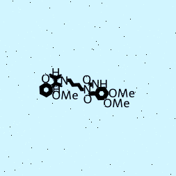 COc1cc2[nH]c(=O)n(CCCCN3C[C@@H]4COc5cccc(OC)c5[C@H]4C3)c(=O)c2cc1OC